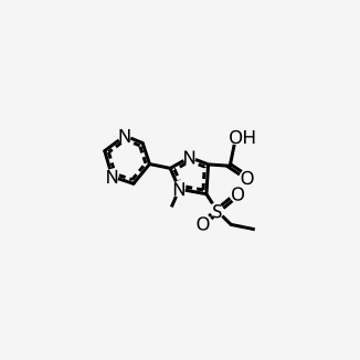 CCS(=O)(=O)c1c(C(=O)O)nc(-c2cncnc2)n1C